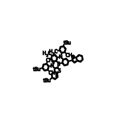 Cc1cc2c3c(c1)N(c1c(C)cc(C(C)(C)C)cc1C)c1c(sc4ccc(C(C)(C)C)cc14)B3c1ccc(-c3cc4ccccc4o3)cc1N2c1c(C)cc(C(C)(C)C)cc1C